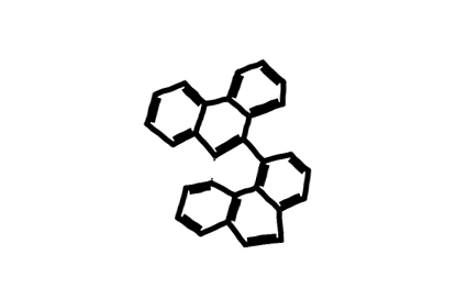 [c]1c(-c2cccc3ccc4ccc[c]c4c23)c2ccccc2c2ccccc12